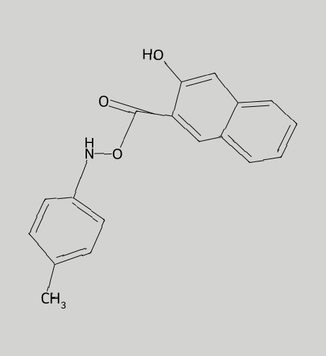 Cc1ccc(NOC(=O)c2cc3ccccc3cc2O)cc1